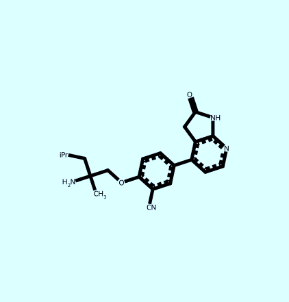 CC(C)CC(C)(N)COc1ccc(-c2ccnc3c2CC(=O)N3)cc1C#N